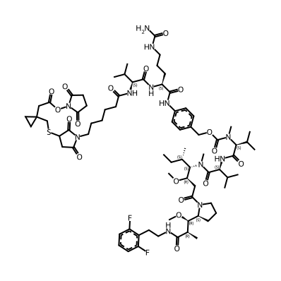 CC[C@H](C)[C@@H]([C@@H](CC(=O)N1CCC[C@H]1[C@H](OC)[C@@H](C)C(=O)NCCc1c(F)cccc1F)OC)N(C)C(=O)[C@@H](NC(=O)[C@H](C(C)C)N(C)C(=O)OCc1ccc(NC(=O)[C@H](CCCNC(N)=O)NC(=O)[C@@H](NC(=O)CCCCCN2C(=O)CC(SCC3(CC(=O)ON4C(=O)CCC4=O)CC3)C2=O)C(C)C)cc1)C(C)C